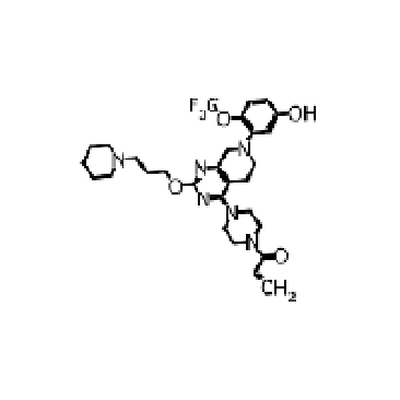 C=CC(=O)N1CCN(c2nc(OCCCN3CCCCC3)nc3c2CCN(c2cc(O)ccc2OC(F)(F)F)C3)CC1